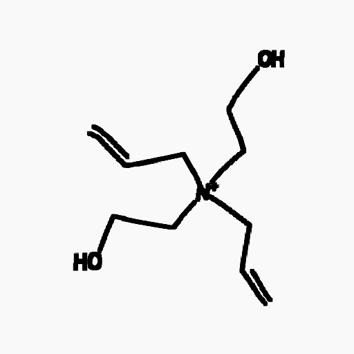 C=CC[N+](CC=C)(CCO)CCO